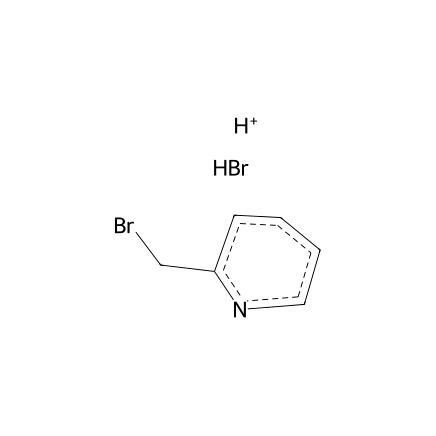 Br.BrCc1ccccn1.[H+]